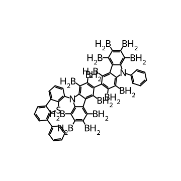 Bc1c(B)c(B)c2c(c1B)c1c(B)c(-c3c(B)c(B)c4c(c3B)c3c(B)c(B)c(B)c(B)c3n4-c3cccc4c3sc3c(-c5ccccc5)cccc34)c(B)c(B)c1n2-c1ccccc1